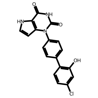 O=c1[nH]c(=O)n(-c2ccc(-c3ccc(Cl)cc3O)cc2)c2cc[nH]c12